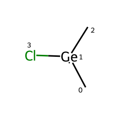 [CH3][Ge]([CH3])[Cl]